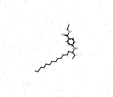 CCCCCCCCCCCCCC(CC)Nc1ccc(C(=O)OCC)cc1